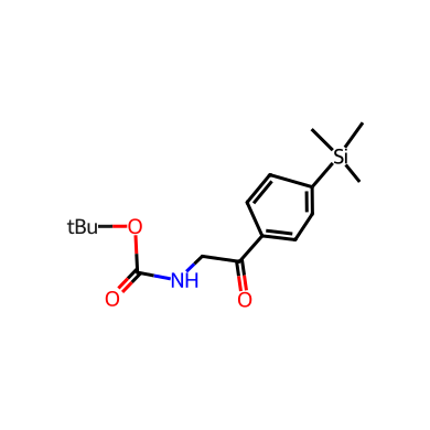 CC(C)(C)OC(=O)NCC(=O)c1ccc([Si](C)(C)C)cc1